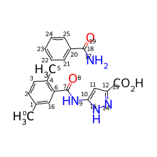 Cc1ccc(C)c(C(=O)Nc2cc(C(=O)O)n[nH]2)c1.NC(=O)c1ccccc1